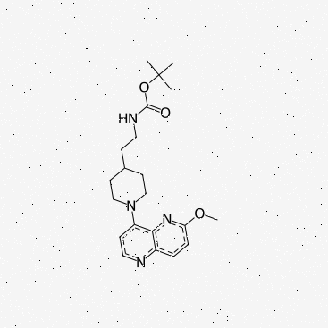 COc1ccc2nccc(N3CCC(CCNC(=O)OC(C)(C)C)CC3)c2n1